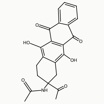 CC(=O)NC1(C(C)=O)CCc2c(O)c3c(c(O)c2C1)C(=O)c1ccccc1C3=O